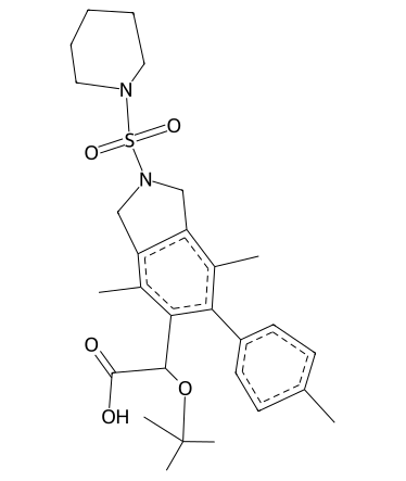 Cc1ccc(-c2c(C)c3c(c(C)c2C(OC(C)(C)C)C(=O)O)CN(S(=O)(=O)N2CCCCC2)C3)cc1